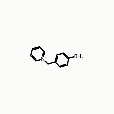 Bc1ccc(C[n+]2ccccc2)cc1